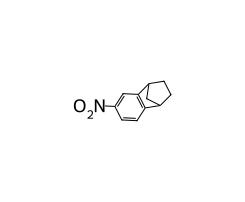 O=[N+]([O-])c1ccc2c(c1)C1CCC2C1